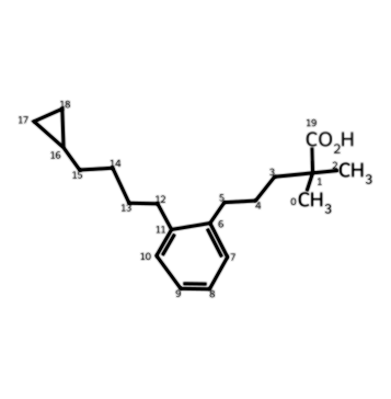 CC(C)(CCCc1ccccc1CCCCC1CC1)C(=O)O